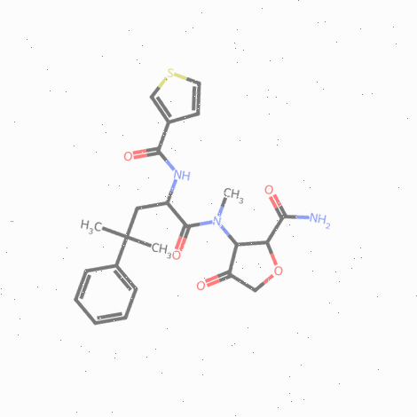 CN(C(=O)C(CC(C)(C)c1ccccc1)NC(=O)c1ccsc1)C1C(=O)COC1C(N)=O